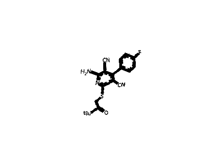 CC(C)(C)C(=O)CSc1nc(N)c(C#N)c(-c2ccc(F)cc2)c1C#N